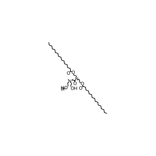 CCCCCCCCCCCCCCCC(=O)OCCN(CCOC(=O)CCCCCCCCCCCCCCC)C(=O)C[N+](C)(CCO)CCO.[Br-]